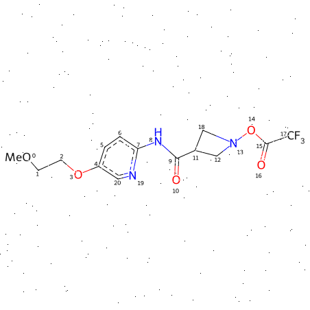 COCCOc1ccc(NC(=O)C2CN(OC(=O)C(F)(F)F)C2)nc1